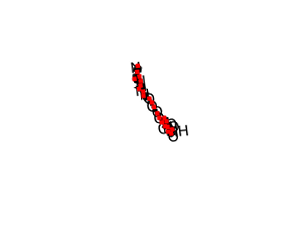 O=C1CCC(N2C(=O)c3ccc(OCCOCCOCCOC4CCN(c5ccc(-c6nc7cc(-c8cccnc8)ccc7s6)cn5)C4)cc3C2=O)C(=O)N1